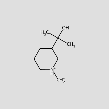 [CH2-][NH+]1CCCC(C(C)(C)O)C1